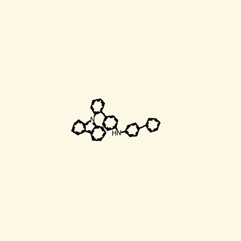 c1ccc(-c2ccc(Nc3ccc(-c4ccccc4-n4c5ccccc5c5ccccc54)cc3)cc2)cc1